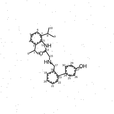 CC(C)c1cccc(C(C)C)c1NC(=O)CNCc1ccccc1-c1ccc(O)cc1